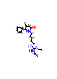 CCN=C(NC#N)NCCCCCn1nc(-c2ccccc2)c(C)cc1=O